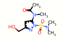 CC(=O)N(C)c1cc(CO)nn1S(=O)(=O)N(C)C